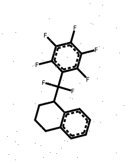 Fc1c(F)c(F)c(C(F)(F)C2CCCc3ccccc32)c(F)c1F